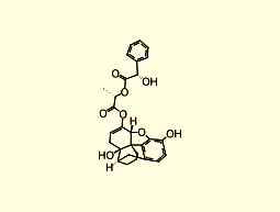 C[C@H](OC(=O)[C@@H](O)c1ccccc1)C(=O)OC1=CC[C@@]2(O)[C@@H]3CCC[C@@]24c2c(ccc(O)c2O[C@@H]14)C3